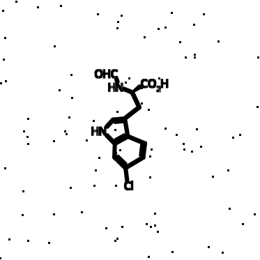 O=CN[C@H](Cc1c[nH]c2cc(Cl)ccc12)C(=O)O